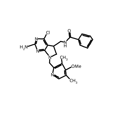 COc1c(C)cnc(CN2CC(CNC(=O)c3ccccc3)c3c(Cl)nc(N)nc32)c1C